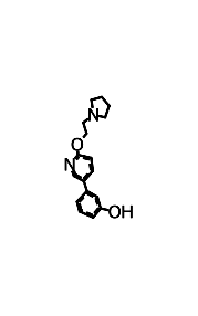 Oc1cccc(-c2ccc(OCCN3CCCC3)nc2)c1